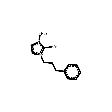 CCCCCCn1cc[n+](CCCc2ccccc2)c1CCC